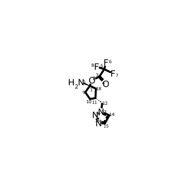 N[C@]1(OC(=O)C(F)(F)F)CC[C@@H](Cn2ccnn2)C1